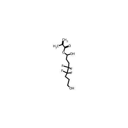 C=C(C)C(=O)OC(O)CCC(F)(F)C(F)(F)CCCO